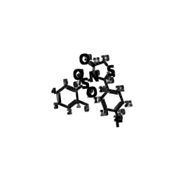 Cc1ccccc1S(=O)(=O)N1C(=O)CSC1c1ccc(F)cc1